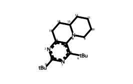 CC(C)(C)c1nc2c(c(C(C)(C)C)n1)N1CCCCC1CC2